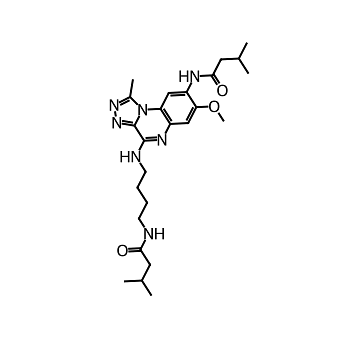 COc1cc2nc(NCCCCNC(=O)CC(C)C)c3nnc(C)n3c2cc1NC(=O)CC(C)C